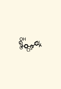 CC(C)(C)c1cc(-c2csc(-c3ccc(C(=O)N4CCC(O)C4)cc3Cl)c2)ccn1